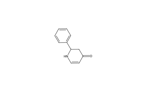 O=C1C=CN[C](c2ccccc2)C1